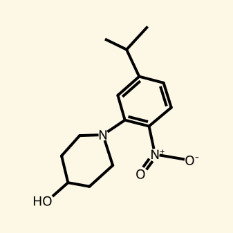 CC(C)c1ccc([N+](=O)[O-])c(N2CCC(O)CC2)c1